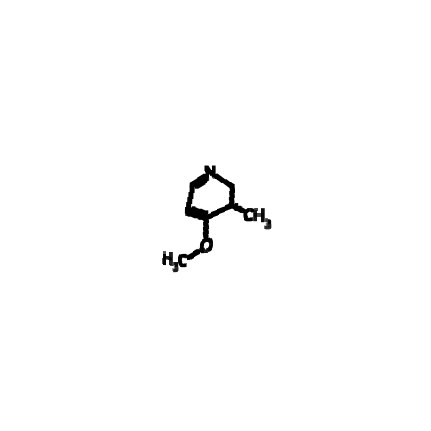 COC1=CC=NC[C]1C